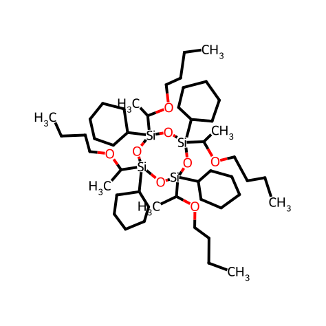 CCCCOC(C)[Si]1(C2CCCCC2)O[Si](C2CCCCC2)(C(C)OCCCC)O[Si](C2CCCCC2)(C(C)OCCCC)O[Si](C2CCCCC2)(C(C)OCCCC)O1